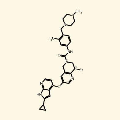 CC[C@@H]1CN(C(=O)Nc2ccc(CN3CCN(C)CC3)c(C(F)(F)F)c2)Cc2cc(Oc3ccnc4[nH]c(C5CC5)cc34)cnc21